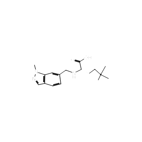 Cn1ncc2ccc(CN[C@@H](CCC(C)(C)C)C(=O)O)cc21